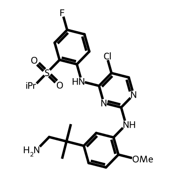 COc1ccc(C(C)(C)CN)cc1Nc1ncc(Cl)c(Nc2ccc(F)cc2S(=O)(=O)C(C)C)n1